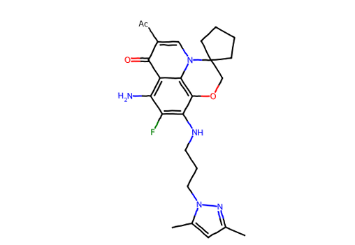 CC(=O)c1cn2c3c(c(NCCCn4nc(C)cc4C)c(F)c(N)c3c1=O)OCC21CCCC1